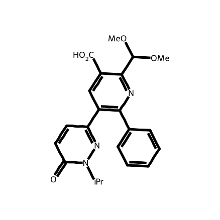 COC(OC)c1nc(-c2ccccc2)c(-c2ccc(=O)n(C(C)C)n2)cc1C(=O)O